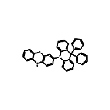 c1ccc(C2(c3ccccc3)c3ccccc3N(c3ccc4c(c3)Oc3ccccc3N4)c3ccccc32)cc1